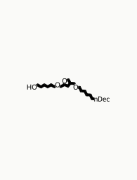 CCCCCCCCCCCCCCCCOCC1COC(COCCCCCCO)C1